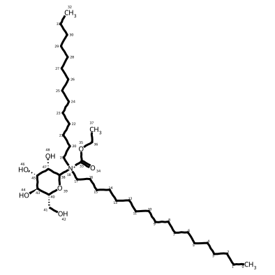 CCCCCCCCCCCCCCCCCC[N+](CCCCCCCCCCCCCC)(C(=O)OCC)C1O[C@H](CO)[C@@H](O)[C@H](O)[C@@H]1O